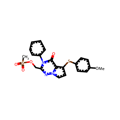 COc1ccc(Sc2ccn3nc(COS(C)(=O)=O)n(-c4ccccc4)c(=O)c23)cc1